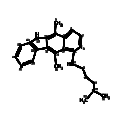 Cc1c2ccnc(NCCCN(C)C)c2c(C)c2c1[nH]c1ccncc12